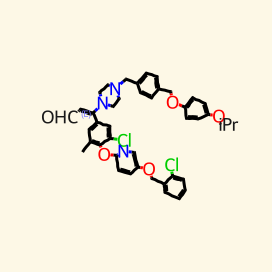 Cc1cc(/C(=C\C=O)N2CCN(Cc3ccc(COc4ccc(OC(C)C)cc4)cc3)CC2)cc(Cl)c1Oc1ccc(OCc2ccccc2Cl)cn1